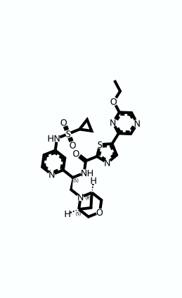 CCOc1cncc(-c2cnc(C(=O)N[C@@H](CN3[C@@H]4COC[C@H]3C4)c3cc(NS(=O)(=O)C4CC4)ccn3)s2)n1